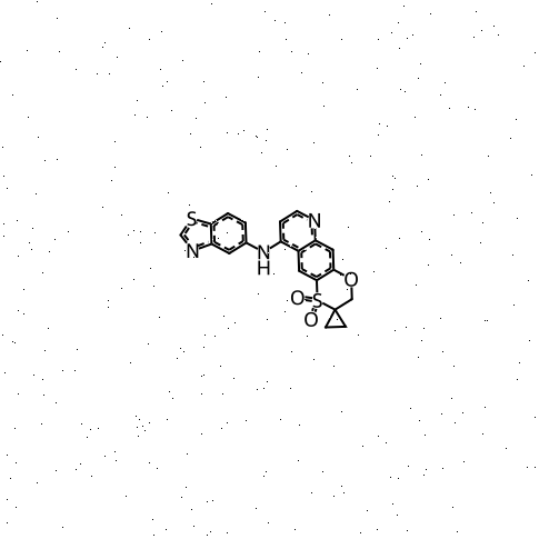 O=S1(=O)c2cc3c(Nc4ccc5scnc5c4)ccnc3cc2OCC12CC2